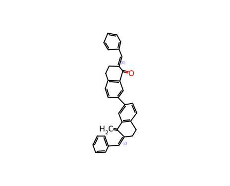 C=C1/C(=C\c2ccccc2)CCc2ccc(-c3ccc4c(c3)C(=O)/C(=C/c3ccccc3)CC4)cc21